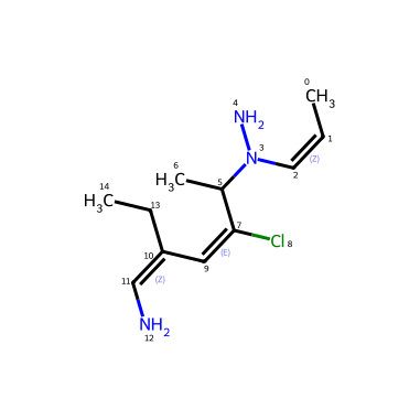 C/C=C\N(N)C(C)/C(Cl)=C\C(=C/N)CC